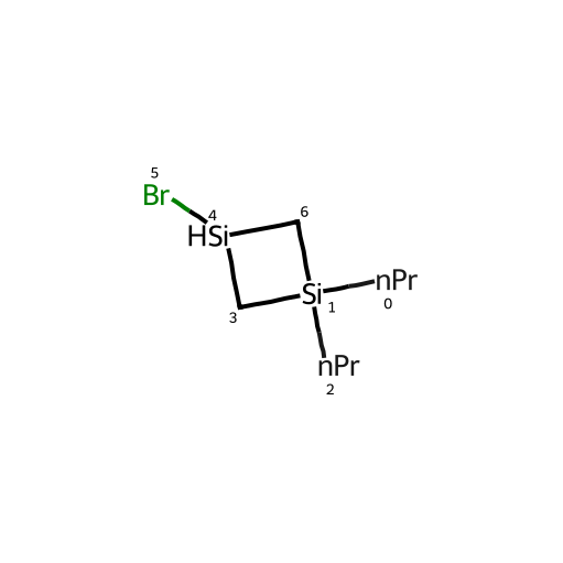 CCC[Si]1(CCC)C[SiH](Br)C1